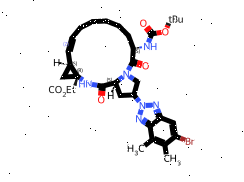 CCOC(=O)[C@@]12C[C@H]1/C=C\CCCCC[C@H](NC(=O)OC(C)(C)C)C(=O)N1CC(n3nc4cc(Br)c(C)c(C)c4n3)C[C@H]1C(=O)N2